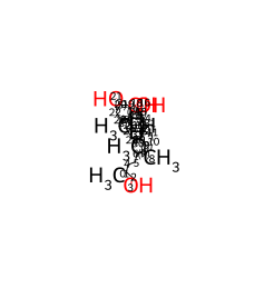 CC(CO)CCC[C@@H](C)[C@H]1CC[C@H]2[C@@H]3C[C@@H](O)[C@@]4(O)C[C@@H](O)CC[C@]4(C)[C@H]3CC[C@]12C